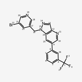 FC(F)(F)c1cccc(-c2cnc3cnn(Cc4cncc(Br)c4)c3c2)c1